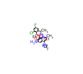 CCO[C@@H]1N(CC(N)=O)[C@@H](OCC)CN1[C@@H](C)c1cc(F)cc(Cl)c1COc1cccc2c(-n3cc(F)cn3)cc(C)nc12